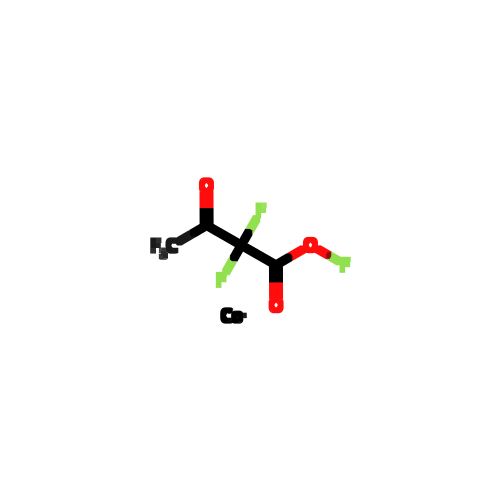 O=C(OF)C(F)(F)C(=O)C(F)(F)F.[Co]